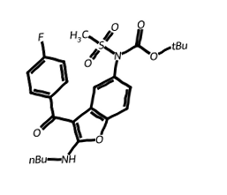 CCCCNc1oc2ccc(N(C(=O)OC(C)(C)C)S(C)(=O)=O)cc2c1C(=O)c1ccc(F)cc1